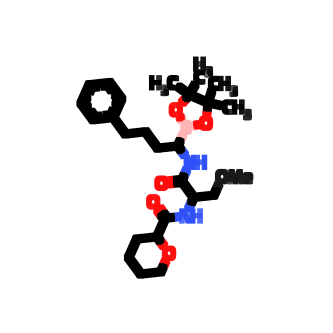 COCC(NC(=O)C1CCCCO1)C(=O)NC(CCCc1ccccc1)B1OC(C)(C)C(C)(C)O1